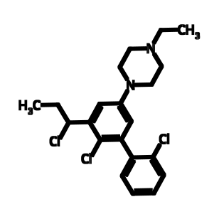 CCC(Cl)c1cc(N2CCN(CC)CC2)cc(-c2ccccc2Cl)c1Cl